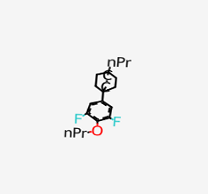 CCCOc1c(F)cc(C23CCC(CCC)(CC2)CC3)cc1F